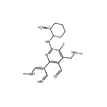 CN/C=C(\C=N)c1nc(NC2CCCC[C@@H]2N)c(F)c(CNC)c1C=O